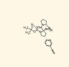 CC(C)(C)OC(=O)N1C[C@@H](c2ccc(C#N)cn2)C[C@@]1(N)C(=O)N1CCCC1C#N